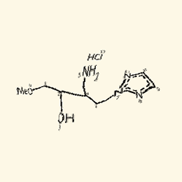 COCC(O)C(N)Cn1nccn1.Cl